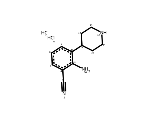 Cl.Cl.N#Cc1cccc(C2CCNCC2)c1N